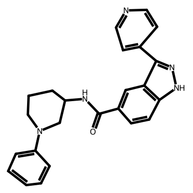 O=C(NC1CCCN(c2ccccc2)C1)c1ccc2[nH]nc(-c3ccncc3)c2c1